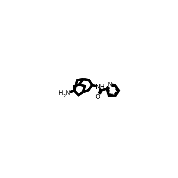 NC12CC3CC(NC(=O)c4ccccn4)CC(C1)C(C3)C2